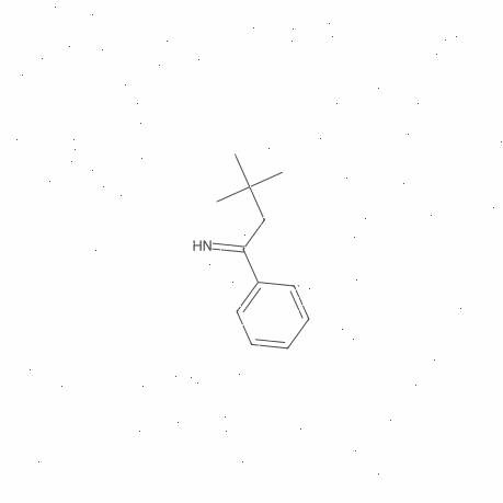 CC(C)(C)CC(=N)c1[c]cccc1